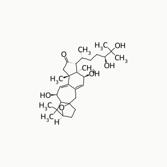 C[C@H](CC[C@H](O)C(C)(C)O)[C@H]1C(=O)C[C@@]2(C)C3=C[C@H](O)C4C5(CC[C@H](O5)C4(C)C)CC3=C[C@H](O)[C@]12C